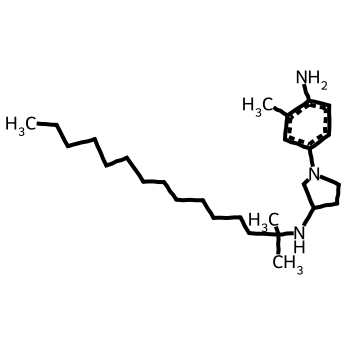 CCCCCCCCCCCCCC(C)(C)NC1CCN(c2ccc(N)c(C)c2)C1